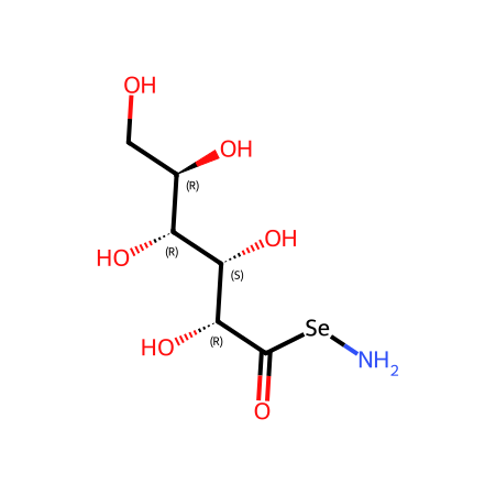 N[Se]C(=O)[C@H](O)[C@@H](O)[C@H](O)[C@H](O)CO